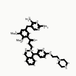 COc1cc(Cc2cnc(N)nc2N)cc(C(=O)C=CN2N=Cc3ccccc3C2c2ccc(OCCN3CCOCC3)nc2)c1OC